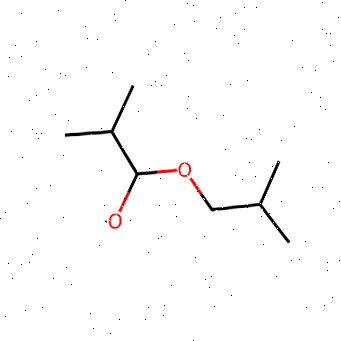 CC(C)COC([O])C(C)C